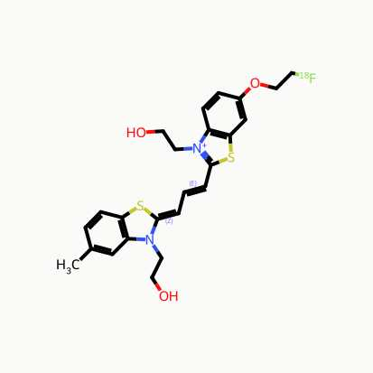 Cc1ccc2c(c1)N(CCO)/C(=C/C=C/c1sc3cc(OCC[18F])ccc3[n+]1CCO)S2